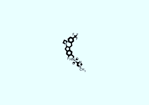 Cn1cnc(S(=O)(=O)NCc2cc3c(cc2F)CC(N2CCC2)C3Cc2cccc(C(F)(F)F)c2)c1